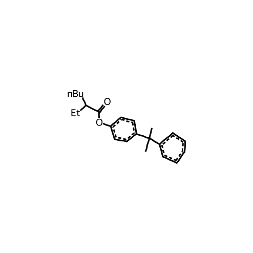 CCCCC(CC)C(=O)Oc1ccc(C(C)(C)c2ccccc2)cc1